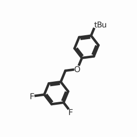 CC(C)(C)c1ccc(OCc2cc(F)cc(F)c2)cc1